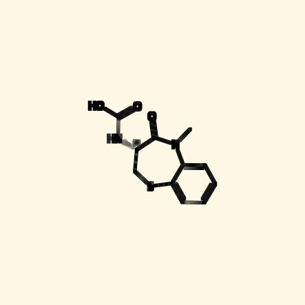 CN1C(=O)[C@@H](NC(=O)O)CSc2ccccc21